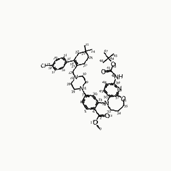 COC(=O)c1ccc(N2CCN(CC3=C(c4ccc(Cl)cc4)CC(C)(C)CC3)CC2)cc1N1CCCOc2nc(NC(=O)OC(C)(C)C)ccc21